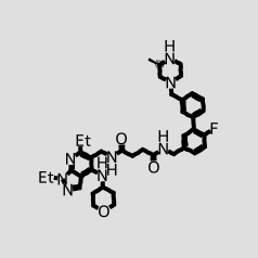 CCc1nc2c(cnn2CC)c(NC2CCOCC2)c1CNC(=O)CCC(=O)NCc1ccc(F)c(-c2cccc(CN3CCN[C@H](C)C3)c2)c1